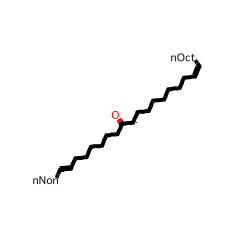 CCCCCCCC/C=C\CCCCCCC[CH]C(=O)CCCCCCC=CCCCCCCCCC